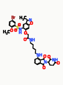 COc1ccc(Br)cc1S(=O)(=O)Nc1cc2c(C)noc2cc1OCC(=O)NCCCCCNc1cccc2c1C(=O)N(C1CCC(=O)NC1=O)C2=O